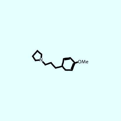 COC1=CCC(CCCN2CCCC2)C=C1